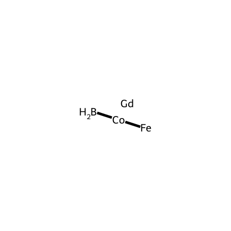 [BH2][Co][Fe].[Gd]